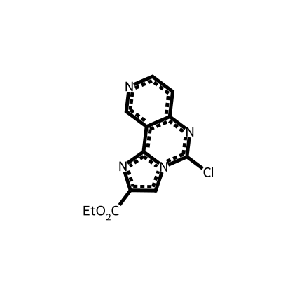 CCOC(=O)c1cn2c(Cl)nc3ccncc3c2n1